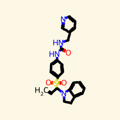 C=CC(N1CCc2ccccc21)S(=O)(=O)c1ccc(NC(=O)NCc2cccnc2)cc1